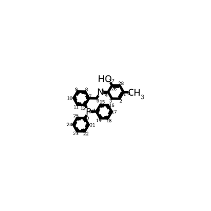 CC1=CCC(=NCc2ccccc2P(c2ccccc2)c2ccccc2)C(O)=C1